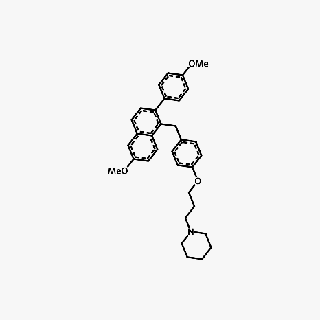 COc1ccc(-c2ccc3cc(OC)ccc3c2Cc2ccc(OCCCN3CCCCC3)cc2)cc1